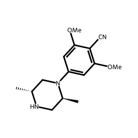 COc1cc(N2C[C@@H](C)NC[C@@H]2C)cc(OC)c1C#N